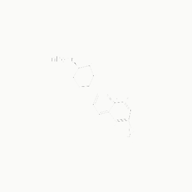 CCCCC[C@H]1CC[C@H](c2ccc3cc(OCC)ccc3c2)CC1